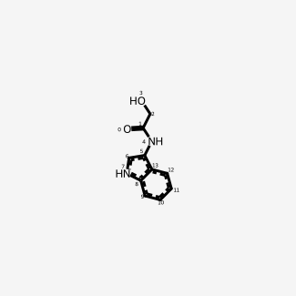 O=C(CO)Nc1c[nH]c2ccccc12